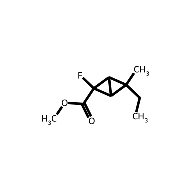 CCC1(C)C2C1C2(F)C(=O)OC